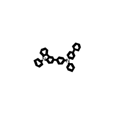 C1=CCC(c2ccc(N(c3ccccc3)c3ccc(-c4ccc5c(c4)c4ccccc4n5-c4ccccc4)cc3)cc2)C=C1